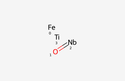 [Fe].[O]=[Nb].[Ti]